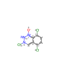 [O-][N+]1=c2c(Cl)ccc(Cl)c2=CN(Cl)N1